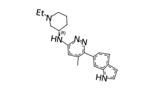 CCN1CCC[C@@H](Nc2cc(C)c(-c3ccc4cc[nH]c4c3)nn2)C1